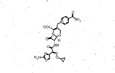 NC(=O)c1cc[n+](CC2=C(C(=O)[O-])N3C(=O)[C@@H](NC(=O)C(=NOC4CC4)c4csc(N)n4)[C@@H]3SC2)cc1